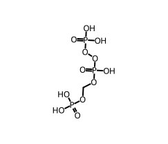 O=P(O)(O)OCOP(=O)(O)OOP(=O)(O)O